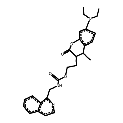 CCN(CC)c1ccc2c(c1)OC(=O)C(CCOC(=O)NCc1nccc3ccccc13)C2C